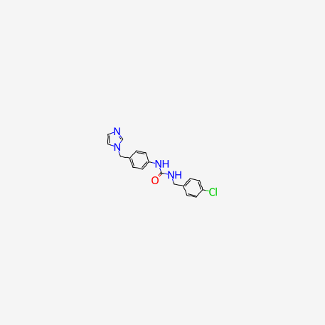 O=C(NCc1ccc(Cl)cc1)Nc1ccc(Cn2ccnc2)cc1